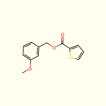 COc1cccc(COC(=O)c2cccs2)c1